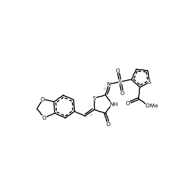 COC(=O)c1sccc1S(=O)(=O)/N=C1\NC(=O)/C(=C/c2ccc3c(c2)OCO3)S1